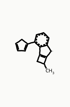 CC1CC2=C1[CH]c1cccc(C3=CC=CC3)c12